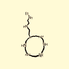 CCNCCNCCN1CCNCCNCCNCCNCCNCC1